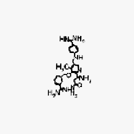 Cc1c(CNc2ccc(C(=N)N)cc2)cnc(C(N)CC(N)=O)c1OCc1cccc(C(=N)N)c1